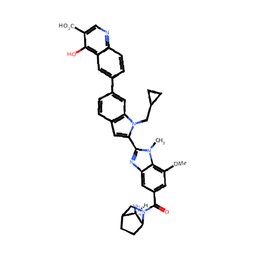 COc1cc(C(=O)N2CC3CCC2[C@@H]3N)cc2nc(-c3cc4ccc(-c5ccc6ncc(C(=O)O)c(O)c6c5)cc4n3CC3CC3)n(C)c12